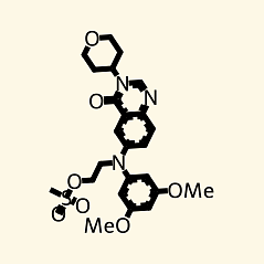 COc1cc(OC)cc(N(CCOS(C)(=O)=O)c2ccc3ncn(C4CCOCC4)c(=O)c3c2)c1